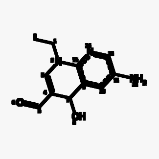 CCN1C=C(C=O)C(O)c2cc(N)cnc21